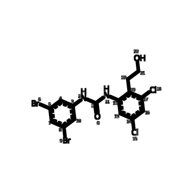 O=C(Nc1cc(Br)cc(Br)c1)Nc1cc(Cl)cc(Cl)c1CCO